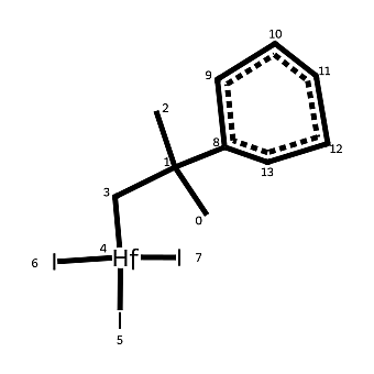 CC(C)([CH2][Hf]([I])([I])[I])c1ccccc1